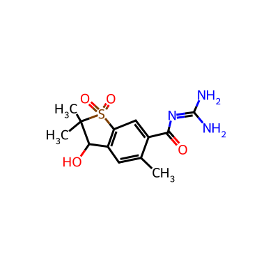 Cc1cc2c(cc1C(=O)N=C(N)N)S(=O)(=O)C(C)(C)C2O